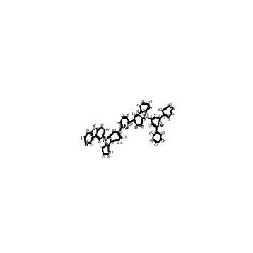 c1ccc(-c2cc(-n3c4ccccc4c4cc(-c5cccc(-c6ccc7c8ccccc8n(-c8ccc9sc%10ccncc%10c9c8)c7c6)n5)ccc43)cc(-c3ccccc3)n2)cc1